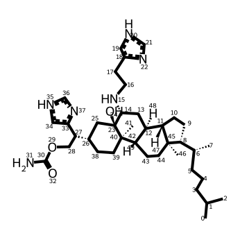 CC(C)CCC[C@@H](C)[C@H]1CC[C@H]2[C@@H]3C[C@@H](NCCc4c[nH]cn4)[C@@]4(O)C[C@@H](C(COC(N)=O)c5c[nH]cn5)CC[C@]4(C)[C@H]3CC[C@]12C